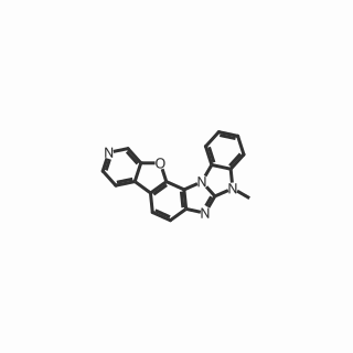 Cn1c2ccccc2n2c3c(ccc4c5ccncc5oc43)nc12